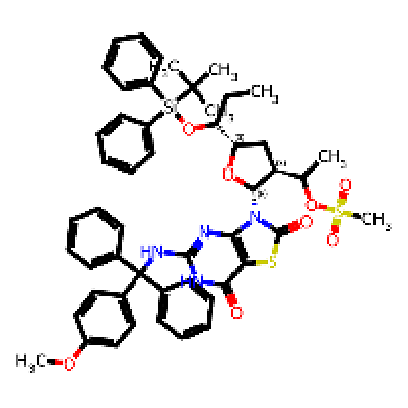 CCC(O[Si](c1ccccc1)(c1ccccc1)C(C)(C)C)[C@@H]1C[C@@H](C(C)OS(C)(=O)=O)[C@H](n2c(=O)sc3c(=O)[nH]c(NC(c4ccccc4)(c4ccccc4)c4ccc(OC)cc4)nc32)O1